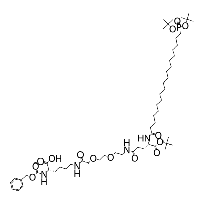 CC(C)(C)OC(=O)[C@H](CCC(=O)NCCOCCOCC(=O)NCCCC[C@H](NC(=O)OCc1ccccc1)C(=O)O)NC(=O)CCCCCCCCCCCCCCCCCCP(=O)(OC(C)(C)C)OC(C)(C)C